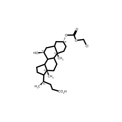 C[C@H](CCC(=O)O)C1CCC2C3C(CC[C@@]21C)[C@@]1(C)CC[C@@H](OC(=O)OCCl)CC1C[C@@H]3O